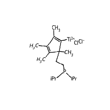 CC1=C(C)C(C)(CCP(C(C)C)C(C)C)[C]([Ti+2])=C1C.[Cl-].[Cl-]